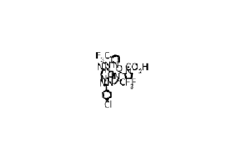 O=C(N[C@@H](Cn1c(-c2ccc(Cl)cc2)nn(Cc2ncn(-c3ncccc3C(F)(F)F)n2)c1=O)C(F)(F)F)[C@@H]1C[C@@H](F)CN1C(=O)O